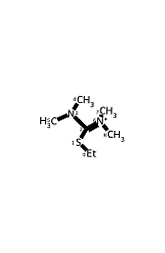 CCSC(N(C)C)=[N+](C)C